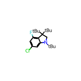 CC(C)(C)N1CC(C(C)(C)C)(C(C)(C)C)c2c(F)cc(Cl)cc21